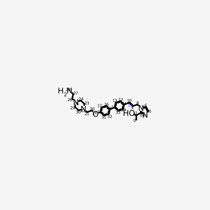 CC(O)c1nccn1C/C=C/c1ccc(-c2ccc(OCCN3CCN(CCN)CC3)cc2)cc1